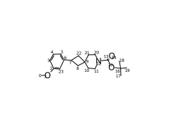 COc1cccc(C2CC3(CCN(C(=O)OC(C)(C)C)CC3)C2)c1